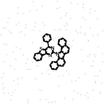 c1ccc(-c2nc(-n3c4c5ccccc5ccc4c4ccc5ccccc5c43)nc3c2sc2ccccc23)cc1